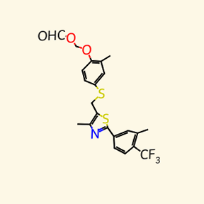 Cc1cc(SCc2sc(-c3ccc(C(F)(F)F)c(C)c3)nc2C)ccc1OCOC=O